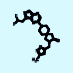 Cc1cc(CN2CC3(CCN(c4cnc5cnn(CC(F)F)c5n4)CC3)CC2=O)on1